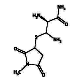 CN1C(=O)CC(SC(N)[C@@H](N)C(N)=O)C1=O